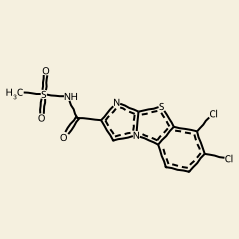 CS(=O)(=O)NC(=O)c1cn2c(n1)sc1c(Cl)c(Cl)ccc12